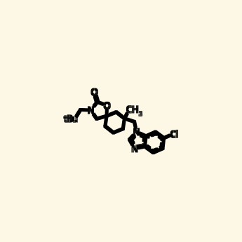 CC(C)(C)CN1CC2(CCCC(C)(Cn3cnc4ccc(Cl)cc43)C2)OC1=O